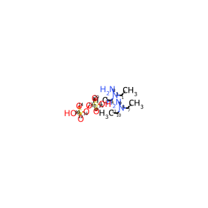 CCN(N)CC.CCN(N)CC.O=S(=O)(O)OOS(=O)(=O)O